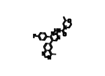 Cc1ncnc2ccc(-c3cnc(NC(=O)N4CCOC(C)C4)nc3-c3ccc(F)cc3)cc12